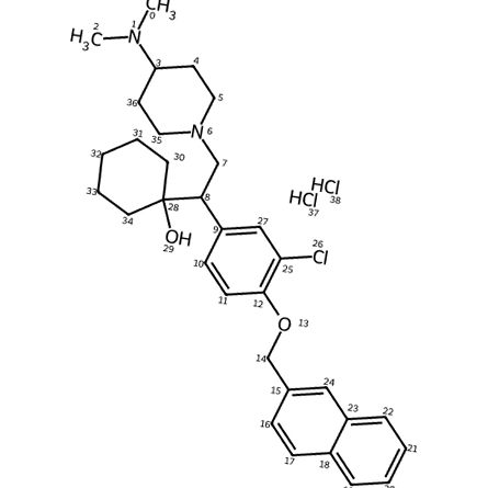 CN(C)C1CCN(CC(c2ccc(OCc3ccc4ccccc4c3)c(Cl)c2)C2(O)CCCCC2)CC1.Cl.Cl